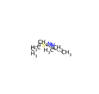 CCCCCCC(C)(C)c1cc(/C=C/SCC(C)(CC)CCCCC)ncn1